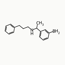 Bc1cccc(C(C)NCCCc2ccccc2)c1